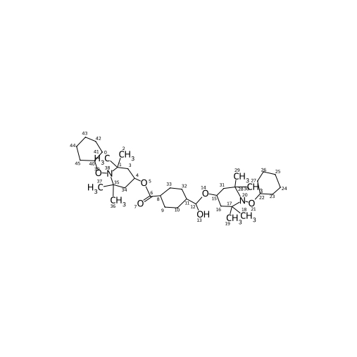 CC1(C)CC(OC(=O)C2CCC(C(O)OC3CC(C)(C)N(OC4CCCCC4)C(C)(C)C3)CC2)CC(C)(C)N1OC1CCCCC1